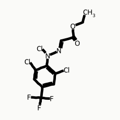 CCOC(=O)C=NN(Cl)c1c(Cl)cc(C(F)(F)F)cc1Cl